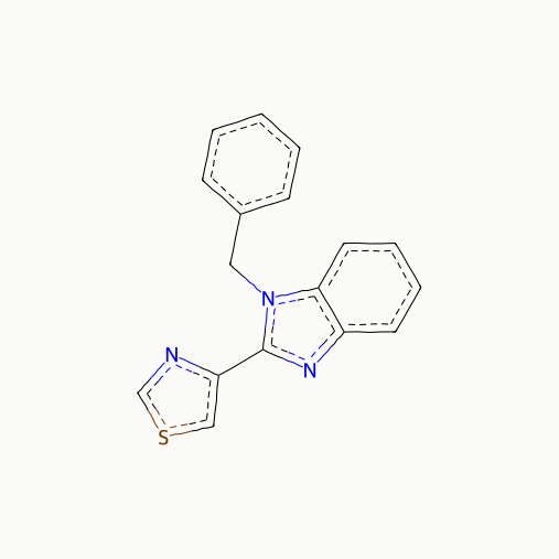 c1ccc(Cn2c(-c3cscn3)nc3ccccc32)cc1